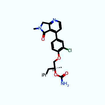 CC(C)C[C@@](C)(COc1ccc(-c2ccnc3c2C(=O)N(C)C3)cc1Cl)OC(N)=O